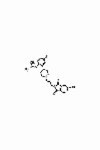 CC(C)Oc1ccc(F)cc1N1CCN(CCCN2C(=O)C3CCC(O)CC3C2=O)CC1